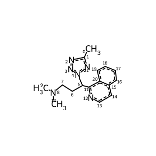 Cc1nnn(C(CCN(C)C)c2nccc3ccccc23)n1